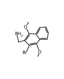 BCc1c(Br)c(OC)c2ccccc2c1OC